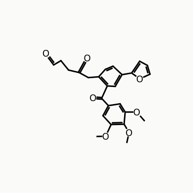 COc1cc(C(=O)c2cc(-c3ccco3)ccc2CC(=O)CCC=O)cc(OC)c1OC